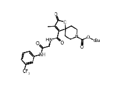 CC1=C(C(=O)NCC(=O)Nc2cccc(C(F)(F)F)c2)C2(CCN(C(=O)OC(C)(C)C)CC2)OC1=O